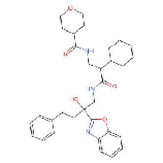 O=C(NCC(C(=O)NCC(O)(CCc1ccccc1)c1nc2ccccc2o1)C1CCCCC1)C1CCOCC1